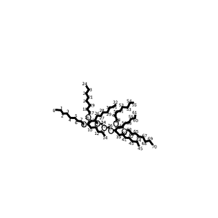 CCCCCCCCOC(CCCCC)=C(OCCCCCCCC)C(CCCCCCC)OCOCOC(CCCCCCC)C(OCCCCCCCC)=C(CCCCC)OCCCCCCCC